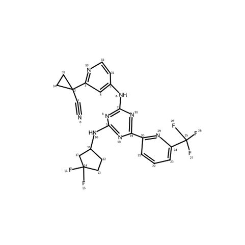 N#CC1(c2cc(Nc3nc(NC4CCC(F)(F)C4)nc(-c4cccc(C(F)(F)F)n4)n3)ccn2)CC1